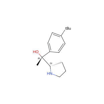 CC(C)(C)c1ccc([C@@](C)(O)[C@@H]2CCCN2)cc1